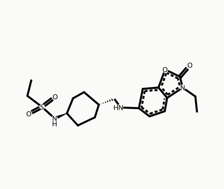 CCn1c(=O)oc2cc(NC[C@H]3CC[C@H](NS(=O)(=O)CC)CC3)ccc21